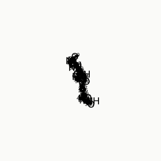 CCOc1cc(-c2ccc(N3CCC(CN4CCN(C(=O)CCCN5CCC(c6ccc7c(N8CCC(=O)NC8=O)nn(C)c7c6)CC5)CC4)(NC(=O)c4cc(F)ccc4F)CC3)nc2)c2c(C#N)cnn2c1